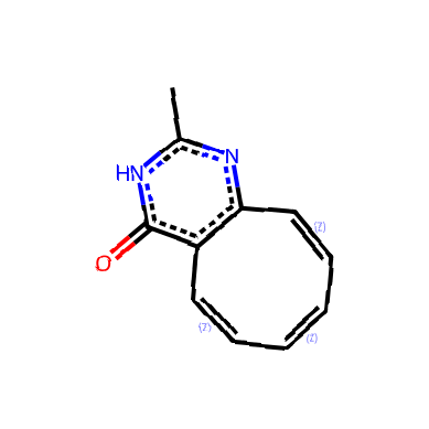 Cc1nc2c(c(=O)[nH]1)\C=C/C=C\C=C/2